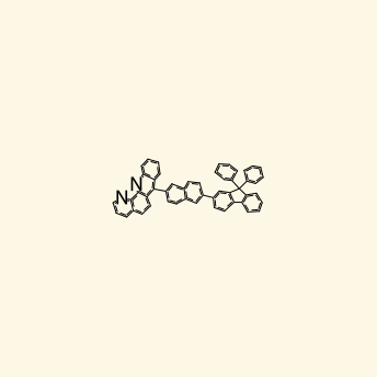 c1ccc(C2(c3ccccc3)c3ccccc3-c3ccc(-c4ccc5cc(-c6c7ccccc7nc7c6ccc6cccnc67)ccc5c4)cc32)cc1